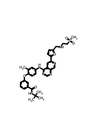 Cc1cc(Nc2ncnc3cnc(-c4ccc(CNCCS(C)(=O)=O)o4)cc23)ccc1Oc1cccc(C(=O)NC(C)(C)C)c1